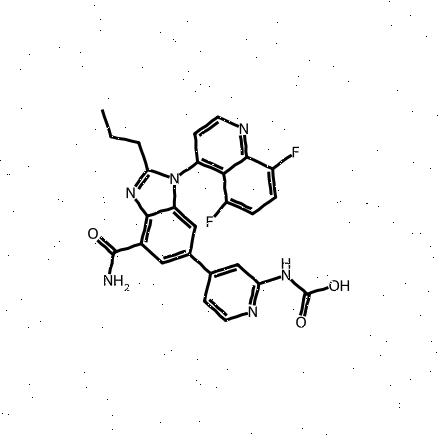 CCCc1nc2c(C(N)=O)cc(-c3ccnc(NC(=O)O)c3)cc2n1-c1ccnc2c(F)ccc(F)c12